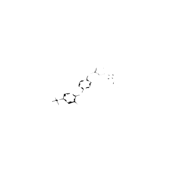 COS(=O)(=O)OCC(C)Oc1ccc(Oc2ncc(C(F)(F)F)cc2Cl)cc1